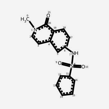 Cn1ccc2cc(NS(=O)(=O)c3ccccc3)ccc2c1=O